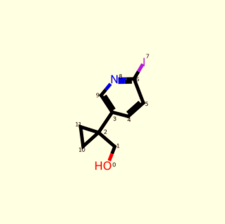 OCC1(c2ccc(I)nc2)CC1